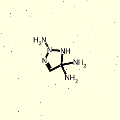 NN1N=CC(N)(N)N1